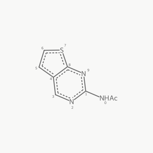 CC(=O)Nc1ncc2ccsc2n1